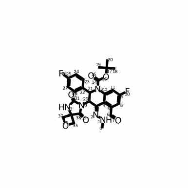 CN/N=C1\c2c(C=O)cc(F)cc2N(C(=O)OC(C)(C)C)C(c2ccc(F)cc2)C1N1C(=O)NC2(COC2)C1=O